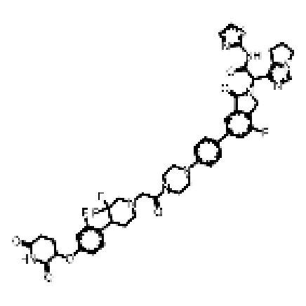 O=C1CCC(Oc2ccc(C3CCN(CC(=O)N4CCN(c5ccc(-c6cc(F)c7c(c6)C(=O)N(C(C(=O)Nc6nccs6)c6ncn8c6CCC8)C7)cc5)CC4)CC3(F)F)c(F)c2)C(=O)N1